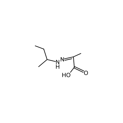 CCC(C)N/N=C(/C)C(=O)O